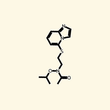 CC(=O)N(CCSc1cccc2nccn12)OC(C)C